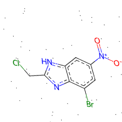 O=[N+]([O-])c1cc(Br)c2nc(CCl)[nH]c2c1